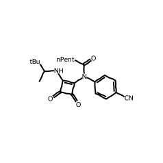 CCCCCC(=O)N(c1ccc(C#N)cc1)c1c(NC(C)C(C)(C)C)c(=O)c1=O